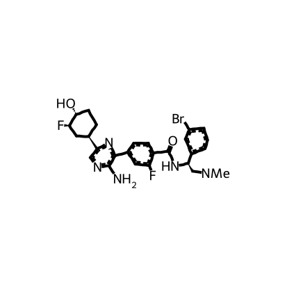 CNC[C@@H](NC(=O)c1ccc(-c2nc([C@@H]3CC[C@@H](O)[C@H](F)C3)cnc2N)cc1F)c1cccc(Br)c1